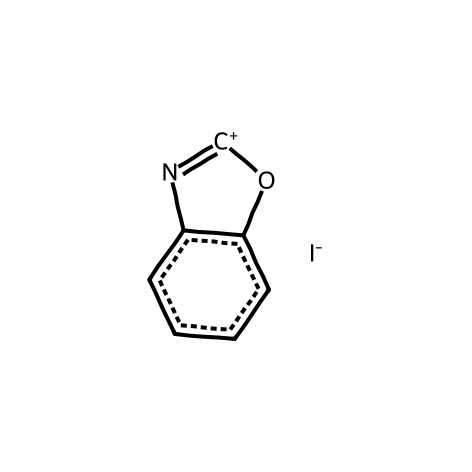 [C+]1=Nc2ccccc2O1.[I-]